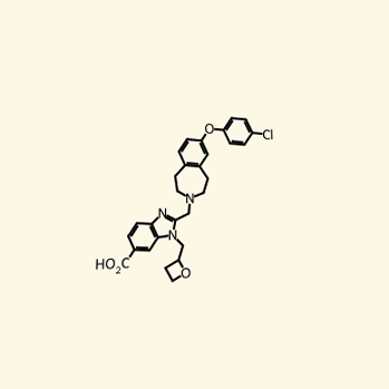 O=C(O)c1ccc2nc(CN3CCc4ccc(Oc5ccc(Cl)cc5)cc4CC3)n(CC3CCO3)c2c1